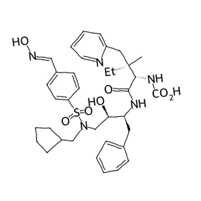 CC[C@@](C)(Cc1ccccn1)[C@H](NC(=O)O)C(=O)N[C@@H](Cc1ccccc1)[C@H](O)CN(CC1CCCC1)S(=O)(=O)c1ccc(C=NO)cc1